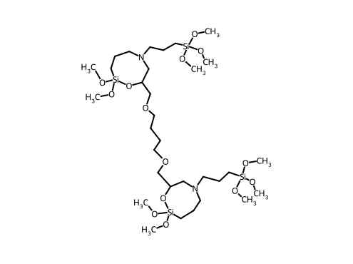 CO[Si](CCCN1CCC[Si](OC)(OC)OC(COCCCCOCC2CN(CCC[Si](OC)(OC)OC)CCC[Si](OC)(OC)O2)C1)(OC)OC